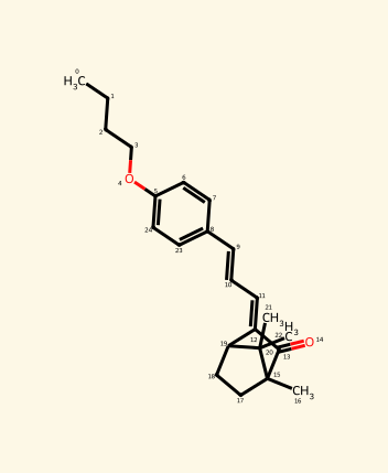 CCCCOc1ccc(C=CC=C2C(=O)C3(C)CCC2C3(C)C)cc1